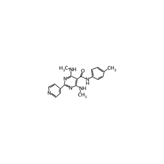 CNc1nc(-c2ccncc2)nc(NC)c1C(=O)Nc1ccc(C)cc1